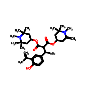 C=C(C)c1cc(C(CCCC)C(C(=O)OC2CC(=C)N(C)C(C)(C)C2)C(=O)OC2CC(C)(C)N(C)C(C)(C)C2)ccc1O